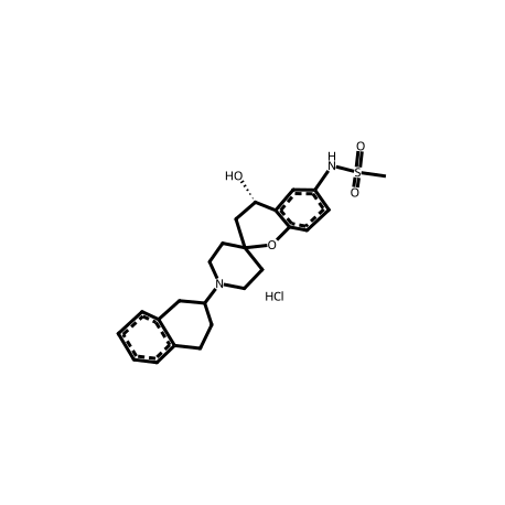 CS(=O)(=O)Nc1ccc2c(c1)[C@@H](O)CC1(CCN(C3CCc4ccccc4C3)CC1)O2.Cl